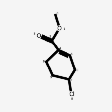 COC(=O)C1=CCC(Cl)CC1